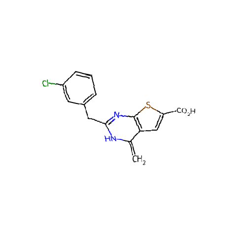 C=C1NC(Cc2cccc(Cl)c2)=Nc2sc(C(=O)O)cc21